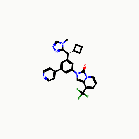 Cn1cnnc1[C@@H](c1cc(-c2ccncc2)cc(-n2cc3c(C(F)(F)F)cccn3c2=O)c1)C1CCC1